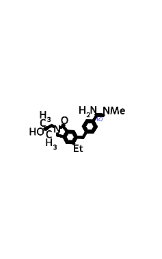 CCc1cc2c(cc1Cc1ccc(/C(N)=C/NC)cc1)C(=O)N(CC(C)(C)O)C2